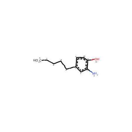 Nc1cc(CCCCC(=O)O)ccc1O